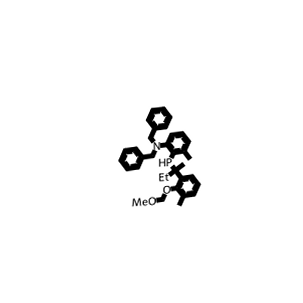 CCC(C)(Pc1c(C)cccc1N(Cc1ccccc1)Cc1ccccc1)c1cccc(C)c1OCOC